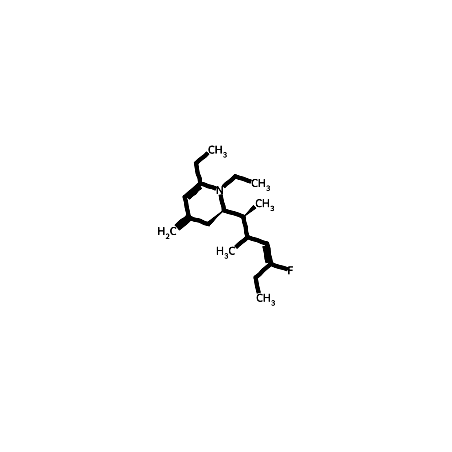 C=C1C=C(CC)N(CC)[C@@H]([C@@H](C)C(C)/C=C(/F)CC)C1